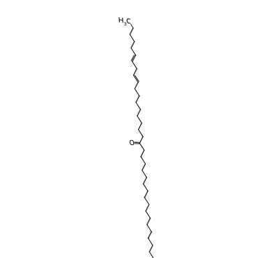 CCCCCC=CCC=CCCCCCCCCC(=O)CCCCCCCCCCCCCCCCCC